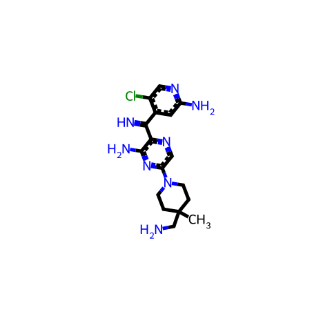 CC1(CN)CCN(c2cnc(C(=N)c3cc(N)ncc3Cl)c(N)n2)CC1